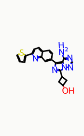 Nc1ncnn2c(C3CC(O)C3)nc(-c3ccc4ccc(-c5cccs5)nc4c3)c12